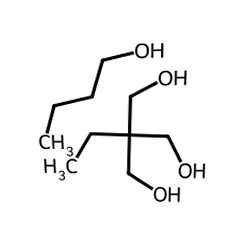 CCC(CO)(CO)CO.CCCCO